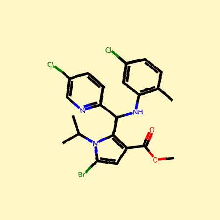 COC(=O)c1cc(Br)n(C(C)C)c1C(Nc1cc(Cl)ccc1C)c1ccc(Cl)cn1